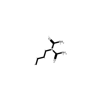 CCCCN(C(N)=O)C(N)=O